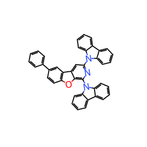 c1ccc(-c2ccc3oc4c(-n5c6ccccc6c6ccccc65)nc(-n5c6ccccc6c6ccccc65)cc4c3c2)cc1